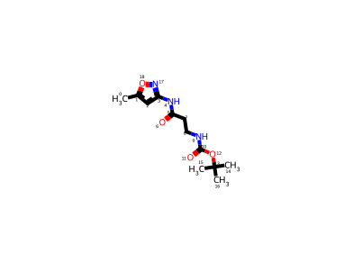 Cc1cc(NC(=O)CCNC(=O)OC(C)(C)C)no1